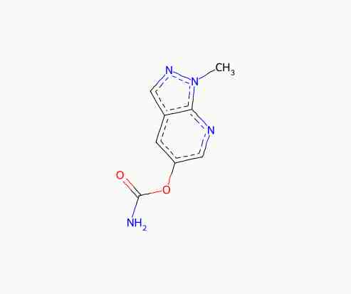 Cn1ncc2cc(OC(N)=O)cnc21